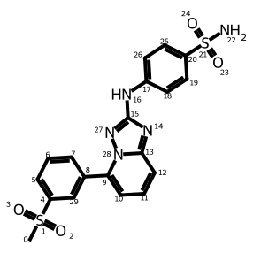 CS(=O)(=O)c1cccc(-c2cccc3nc(Nc4ccc(S(N)(=O)=O)cc4)nn23)c1